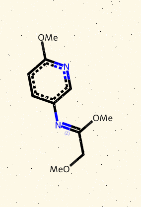 COC/C(=N/c1ccc(OC)nc1)OC